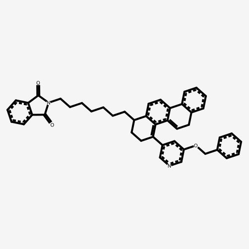 O=C1c2ccccc2C(=O)N1CCCCCCCC1CCC(c2cncc(OCc3ccccc3)c2)=c2c1ccc1c2=CCc2ccccc2-1